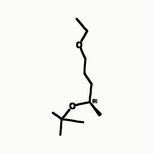 CCOCCC[C@@H](C)OC(C)(C)C